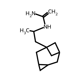 C=C(N)NC(C)CC12CC(CC3CC3C1)C2